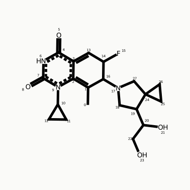 CC1=c2c(c(=O)[nH]c(=O)n2C2CC2)=CC(F)C1N1CC(C(O)CO)C2(CC2)C1